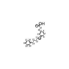 O=C(O)CCc1cccc(OCCCCc2ccccc2)c1